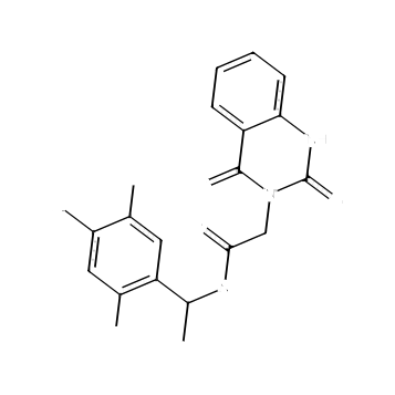 CC(NC(=O)Cn1c(=O)[nH]c2ccccc2c1=O)c1cc(F)c(Cl)cc1Cl